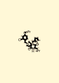 CCCOc1ccc(CN2CCC3(CC2)C(=O)NC(CC(C)C)C(=O)N3Cc2cccs2)c(Cl)c1